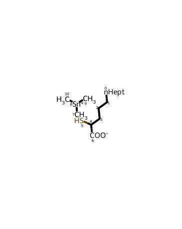 CCCCCCCCCCC(S)C(=O)[O-].[CH3][Sn+]([CH3])[CH3]